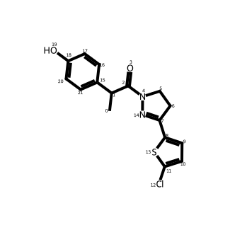 CC(C(=O)N1CCC(c2ccc(Cl)s2)=N1)c1ccc(O)cc1